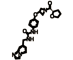 O=C(NCc1ccn2ccnc2c1)Nc1ccc(OC2CN(C(=O)[C@@H]3CCCO3)C2)cc1